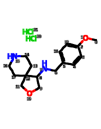 COc1ccc(CNC2COCC23CCNCC3)cc1.Cl.Cl